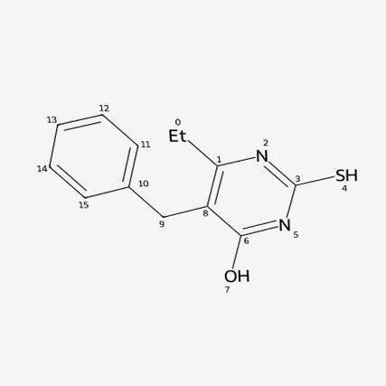 CCc1nc(S)nc(O)c1Cc1ccccc1